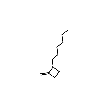 CCCCCCN1CCC1=O